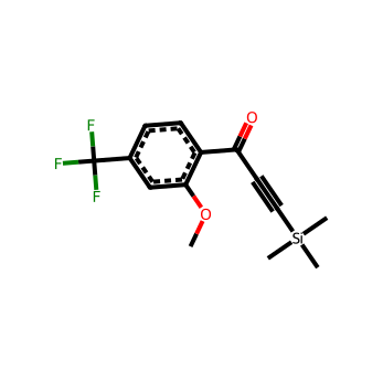 COc1cc(C(F)(F)F)ccc1C(=O)C#C[Si](C)(C)C